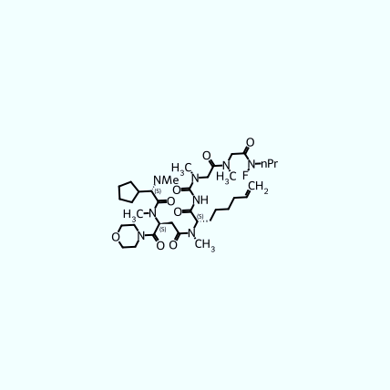 C=CCCCC[C@@H](C(=O)NC(=O)N(C)CC(=O)N(C)CC(=O)N(F)CCC)N(C)C(=O)C[C@@H](C(=O)N1CCOCC1)N(C)C(=O)[C@@H](NC)C1CCCC1